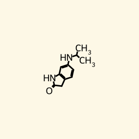 CC(C)Nc1ccc2c(c1)NC(=O)C2